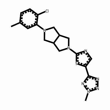 Cc1ccc(Cl)c(N2CC3CN(c4ncc(-c5nnn(C)n5)s4)CC3C2)c1